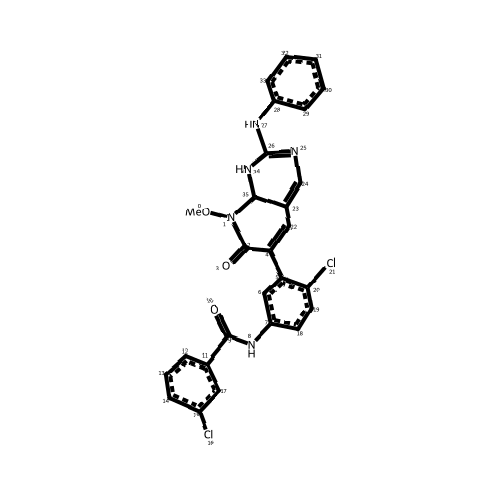 CON1C(=O)C(c2cc(NC(=O)c3cccc(Cl)c3)ccc2Cl)=CC2=CN=C(Nc3ccccc3)NC21